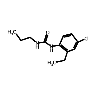 CCCNC(=O)Nc1ccc(Cl)cc1CC